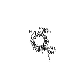 CCCCCCC[C@@H](O)CC(=O)N[C@H](CCN)C(=O)N[C@H]1CCNC(=O)[C@H](CC(C)C)NC(=O)[C@H](CCCNC(=N)N)NC(=O)[C@H](CCN)NC(=O)[C@H](CC(C)C)NC(=O)[C@@H](Cc2ccccc2)NC(=O)[C@H](CCN)NC1=O